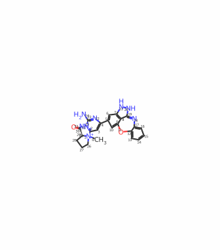 C[N+]1(c2cc(-c3cc4c5c(c3)Oc3ccccc3N=C5NN4)nc(N)n2)CCC[C@H]1C(N)=O